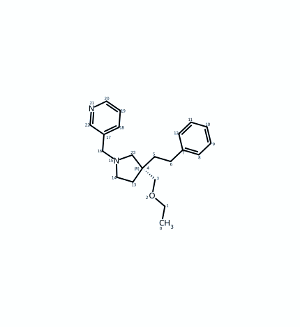 CCOC[C@]1(CCc2ccccc2)CCN(Cc2cccnc2)C1